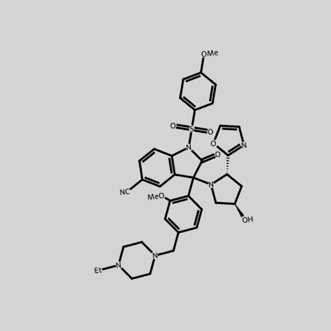 CCN1CCN(Cc2ccc(C3(N4C[C@H](O)C[C@H]4c4ncco4)C(=O)N(S(=O)(=O)c4ccc(OC)cc4)c4ccc(C#N)cc43)c(OC)c2)CC1